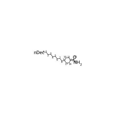 CCCCCCCCCCCCCCCCCCC1CCC(C(N)=O)CC1